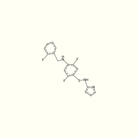 Fc1ccccc1CNc1cc(F)c(SNc2nccs2)cc1F